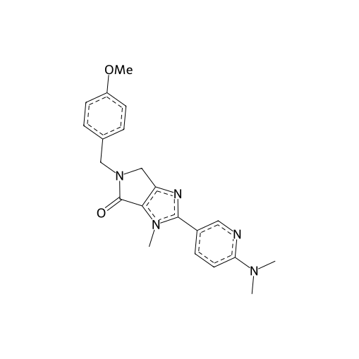 COc1ccc(CN2Cc3nc(-c4ccc(N(C)C)nc4)n(C)c3C2=O)cc1